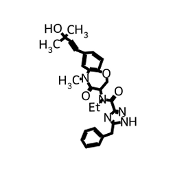 CCN(C(=O)c1n[nH]c(Cc2ccccc2)n1)C1COc2ccc(C#CC(C)(C)O)cc2N(C)C1=O